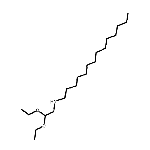 CCCCCCCCCCCCCCNCC(OCC)OCC